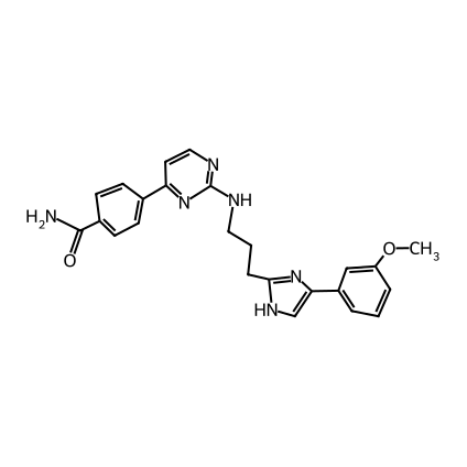 COc1cccc(-c2c[nH]c(CCCNc3nccc(-c4ccc(C(N)=O)cc4)n3)n2)c1